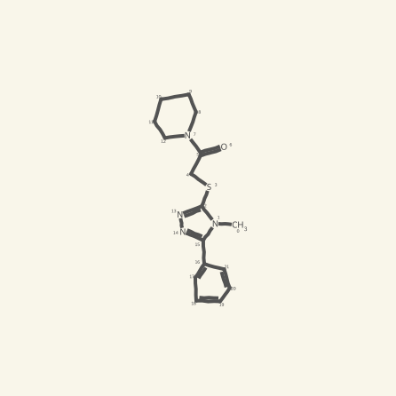 Cn1c(SCC(=O)N2CCCCC2)nnc1-c1ccccc1